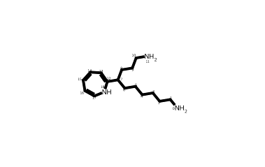 NCCCCCCC(CCCN)C1=CC=CC=CN1